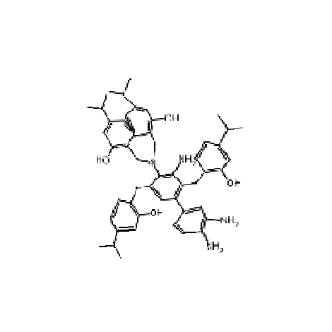 CC(C)c1ccc(Cc2cc(-c3ccc(N)c(N)c3)c(Cc3ccc(C(C)C)cc3O)c(N)c2N(Cc2ccc(C(C)C)cc2O)Cc2ccc(C(C)C)cc2O)c(O)c1